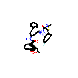 Cc1cc2c(C(=O)NC(CCNC(=O)c3nc(C)sc3-c3ccc(F)cc3)Cc3ccccc3)cccc2o1